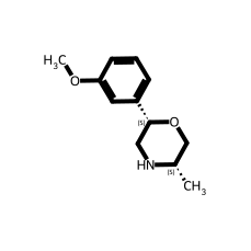 COc1cccc([C@H]2CN[C@@H](C)CO2)c1